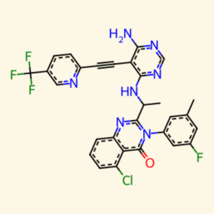 Cc1cc(F)cc(-n2c(C(C)Nc3ncnc(N)c3C#Cc3ccc(C(F)(F)F)cn3)nc3cccc(Cl)c3c2=O)c1